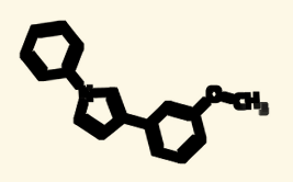 COc1cccc(-c2ccn(-c3ccccc3)c2)c1